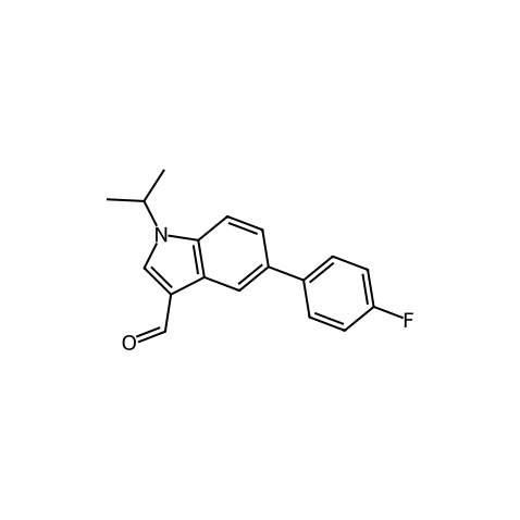 CC(C)n1cc(C=O)c2cc(-c3ccc(F)cc3)ccc21